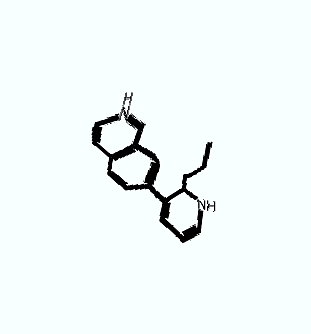 CCCC1NC=CC=C1c1ccc2c(c1)CNC=C2